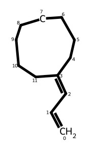 C=CC=C1CCCCCCCC1